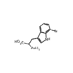 O=C(O)C([AsH2])Cc1c[nH]c2c(Br)cccc12